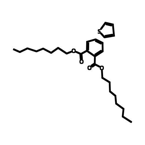 CCCCCCCCOC(=O)c1ccccc1C(=O)OCCCCCCCC.c1ccsc1